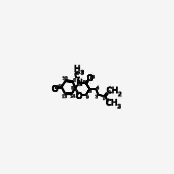 C=C(C)CCC1COC2(C=CC(=O)C=C2)N(C)C1=O